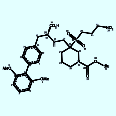 COc1cccc(OC)c1-c1ccc(C[C@H](NCC2(S(=O)(=O)CCC[N+](=O)[O-])CCCN(C(=O)OC(C)(C)C)C2)C(=O)O)cc1